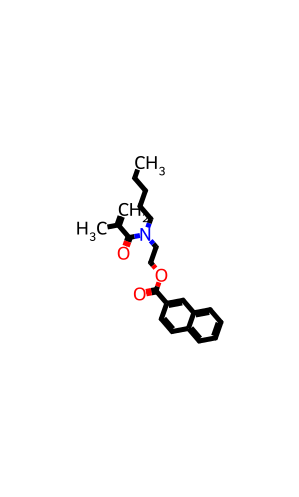 C=C(C)C(=O)N(CCCCC)CCOC(=O)c1ccc2ccccc2c1